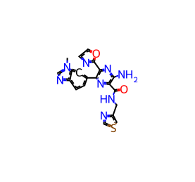 Cn1cnc2ccc(-c3nc(C(=O)NCc4cscn4)c(N)nc3-c3ncco3)cc21